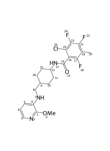 COc1ncccc1NCC1CCC(NC(=O)c2c(F)c(C)c(F)c(F)c2Cl)CC1